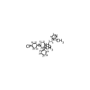 Cc1nccn1CCC(=O)N1CCN(c2ccc(Cl)cc2)CC1(C)c1ccccc1